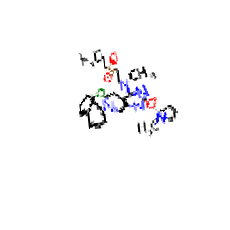 C/C=C/S(=O)(=O)CCN(C)c1nc(OC[C@@H]2CCCN2C)nc2c1CCN(c1cccc3cccc(Cl)c13)C2